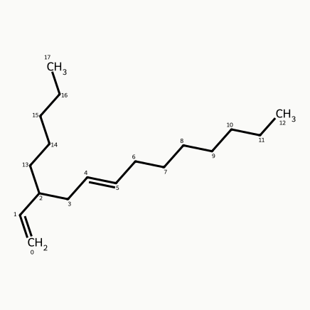 C=CC(CC=CCCCCCCC)CCCCC